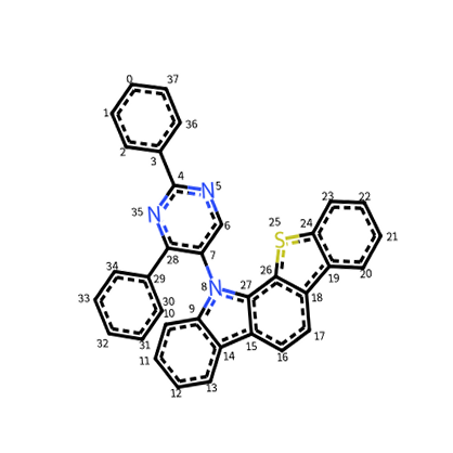 c1ccc(-c2ncc(-n3c4ccccc4c4ccc5c6ccccc6sc5c43)c(-c3ccccc3)n2)cc1